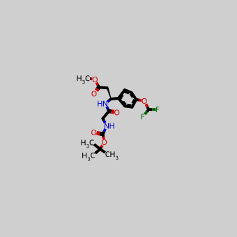 COC(=O)C[C@H](NC(=O)CNC(=O)OC(C)(C)C)c1ccc(OC(F)F)cc1